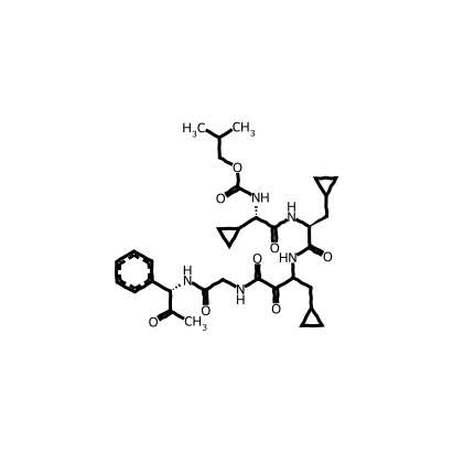 CC(=O)[C@@H](NC(=O)CNC(=O)C(=O)C(CC1CC1)NC(=O)[C@H](CC1CC1)NC(=O)[C@@H](NC(=O)OCC(C)C)C1CC1)c1ccccc1